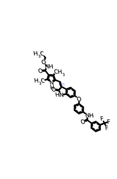 CCONC(=O)c1c(C)[nH]c(/C=C2\C(=O)Nc3cc(Oc4cccc(NC(=O)c5cccc(C(F)(F)F)c5)c4)ccc32)c1C